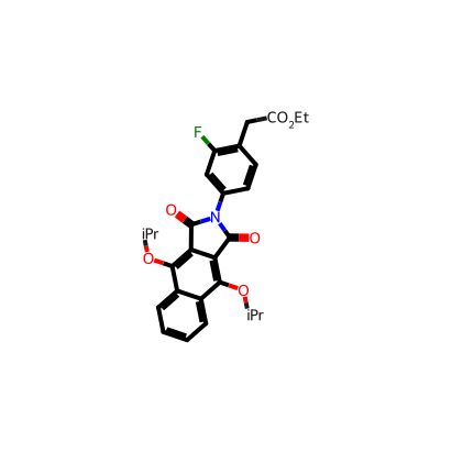 CCOC(=O)Cc1ccc(N2C(=O)c3c(c(OC(C)C)c4ccccc4c3OC(C)C)C2=O)cc1F